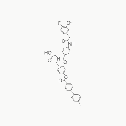 COc1cc(CC(=O)Nc2ccc(C(=O)N(CC(=O)O)Cc3ccc(OC(=O)c4ccc(-c5ccc(C)cc5)cc4)cc3)cc2)ccc1F